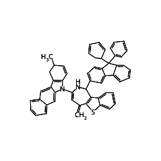 C=C1C=C(n2c3c(c4cc5ccccc5cc42)CC(C)C=C3)NC(c2ccc3c(c2)-c2ccccc2C3(c2ccccc2)C2C=CC=CC2)c2c1sc1ccccc21